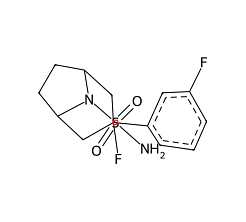 NS(=O)(=O)N1C2CCC1CC(F)(c1cccc(F)c1)C2